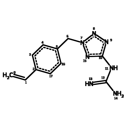 C=Cc1ccc(Cn2nnc(NC(=N)N)n2)cc1